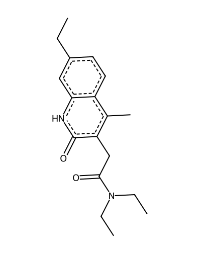 CCc1ccc2c(C)c(CC(=O)N(CC)CC)c(=O)[nH]c2c1